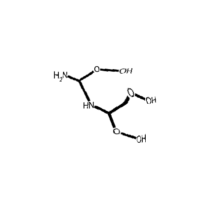 NC(NC(OO)OO)OO